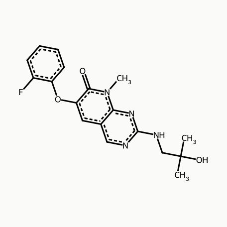 Cn1c(=O)c(Oc2ccccc2F)cc2cnc(NCC(C)(C)O)nc21